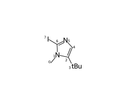 Cn1c(C(C)(C)C)cnc1I